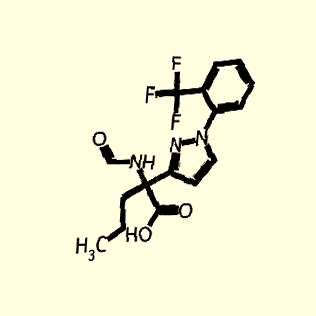 CCCC(NC=O)(C(=O)O)c1ccn(-c2ccccc2C(F)(F)F)n1